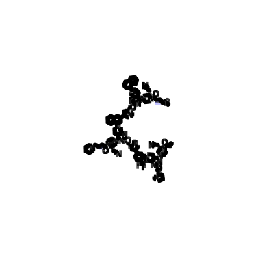 C=CC(=O)N1CCN(c2nc(OC[C@@H]3CCCN3C)nc3c2CCN(c2cc(C4C[C@@H](COc5nc6c(c(N7CCN(C(=O)/C=C/CN8CCCCC8)[C@@H](CC#N)C7)n5)CCN(c5cc(C7C[C@@H](COc8nc9c(c(N%10CCN(C(=O)/C=C/CN(C)C)[C@@H](CC#N)C%10)n8)CCN(c8cccc%10ccccc8%10)C9)N(C)C7)cc7ccccc57)C6)N(C)C4)ccc2C(F)(F)F)C3)C[C@@H]1CC#N